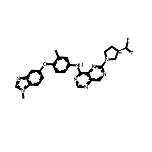 Cc1cc(Nc2ncnc3cnc(N4CC[C@@H](C(F)F)C4)nc23)ccc1Oc1ccc2c(c1)ncn2C